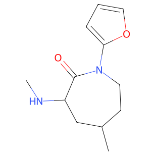 CNC1CC(C)CCN(c2ccco2)C1=O